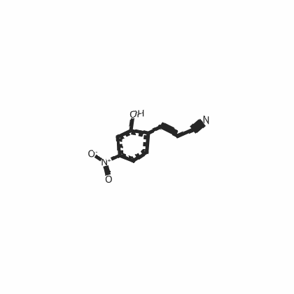 N#CC=Cc1ccc([N+](=O)[O-])cc1O